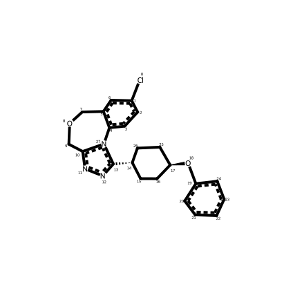 Clc1ccc2c(c1)COCc1nnc([C@H]3CC[C@H](Oc4ccccc4)CC3)n1-2